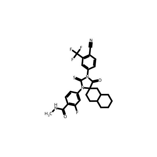 CNC(=O)c1ccc(N2C(=S)N(c3ccc(C#N)c(C(F)(F)F)c3)C(=O)C23CCC2CCCCC2C3)cc1F